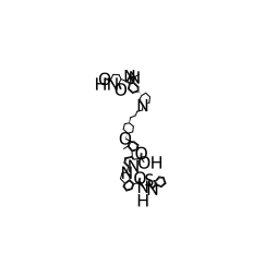 Cc1c(O[C@H]2CC[C@H](CCCCN3CCC[C@@H](c4ccc5c(C6CCC(=O)NC6=O)nn(C)c5c4)C3)CC2)cccc1-c1ccc(N2CCc3cccc(C(=O)Nc4nc5ccccc5s4)c3C2)nc1C(=O)O